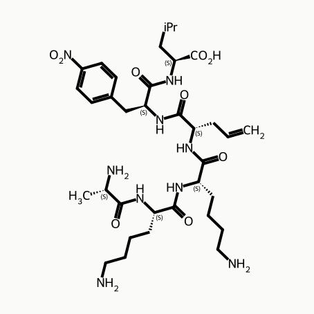 C=CC[C@H](NC(=O)[C@H](CCCCN)NC(=O)[C@H](CCCCN)NC(=O)[C@H](C)N)C(=O)N[C@@H](Cc1ccc([N+](=O)[O-])cc1)C(=O)N[C@@H](CC(C)C)C(=O)O